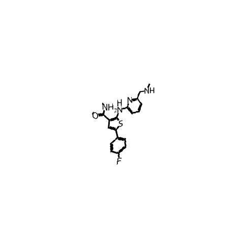 CNCc1cccc(Nc2sc(-c3ccc(F)cc3)cc2C(N)=O)n1